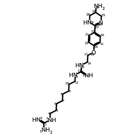 N=C(N)NCCCCCCCCNC(=N)NCCOc1ccc(C2=NCC(N)CN2)cc1